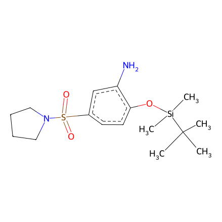 CC(C)(C)[Si](C)(C)Oc1ccc(S(=O)(=O)N2CCCC2)cc1N